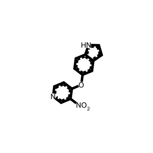 O=[N+]([O-])c1cnccc1Oc1ccc2[nH]ccc2c1